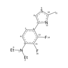 CCN(CC)c1ccc(-c2csc(C)n2)c(F)c1F